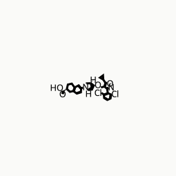 O=C(O)[C@H]1CCc2cc(N3C[C@@H]4C[C@H]3C[C@H]4OCc3c(-c4c(Cl)cccc4Cl)noc3C3CC3)ccc2C1